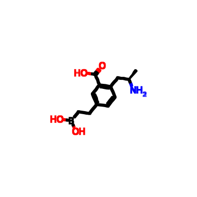 C[C@@H](N)Cc1ccc(CCB(O)O)cc1C(=O)O